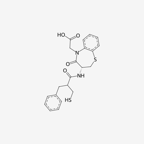 O=C(O)CN1C(=O)[C@@H](NC(=O)C(CS)Cc2ccccc2)CSc2ccccc21